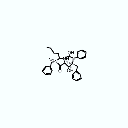 CCCCC1N[C@@H]([C@@H](O)[C@H](Cc2ccccc2)N(C(=O)O)c2ccccc2)C(=O)N1[C@@H](C)c1ccccc1